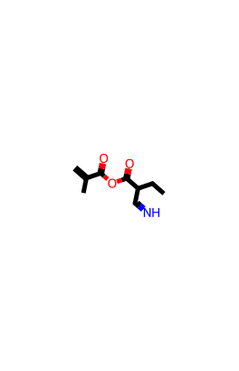 C=C(C)C(=O)OC(=O)C(C=N)CC